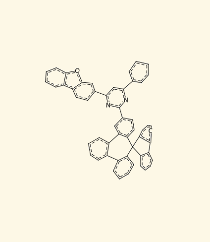 c1ccc(-c2cc(-c3ccc4c(c3)oc3ccccc34)nc(-c3ccc4c(c3)-c3ccccc3-c3ccccc3C43c4ccccc4-c4ccccc43)n2)cc1